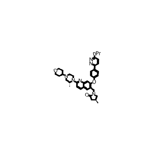 CCCc1ccc(-c2ccc(Oc3cc4nc(N5CCN(C6CCOCC6)C[C@H]5C)ccc4cc3CN3C[C@@H](C)CC3=O)cc2)nn1